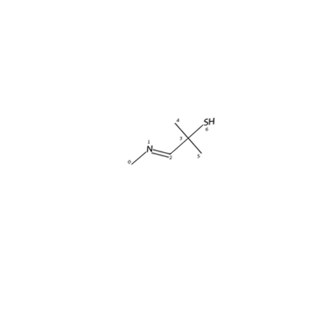 C/N=C/C(C)(C)S